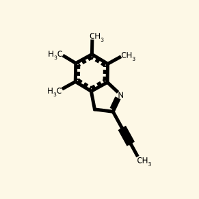 CC#CC1=Nc2c(C)c(C)c(C)c(C)c2C1